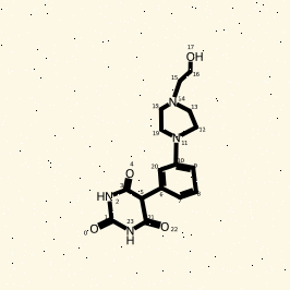 O=C1NC(=O)C(c2cccc(N3CCN(CCO)CC3)c2)C(=O)N1